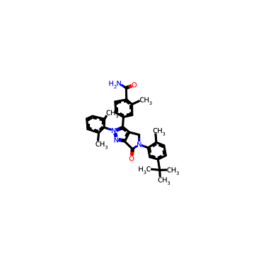 Cc1cc(-c2c3c(nn2-c2c(C)cccc2C)C(=O)N(c2cc(C(C)(C)C)ccc2C)C3)ccc1C(N)=O